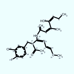 C=C(/C=C(C)\C(O)=C/CC)N/C(=N/C=C/OC)N(Cc1ccc(F)c(Cl)c1)C(C)=O